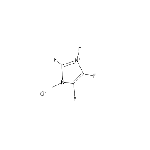 Cn1c(F)c(F)[n+](F)c1F.[Cl-]